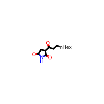 CCCCCCCCC(=O)C1CC(=O)NC1=O